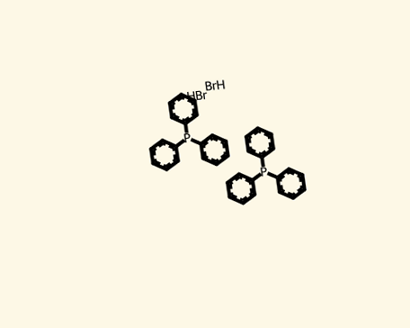 Br.Br.c1ccc(P(c2ccccc2)c2ccccc2)cc1.c1ccc(P(c2ccccc2)c2ccccc2)cc1